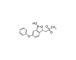 CS(=O)(=O)CC1OB(O)c2cc(Oc3ccccc3)ccc21